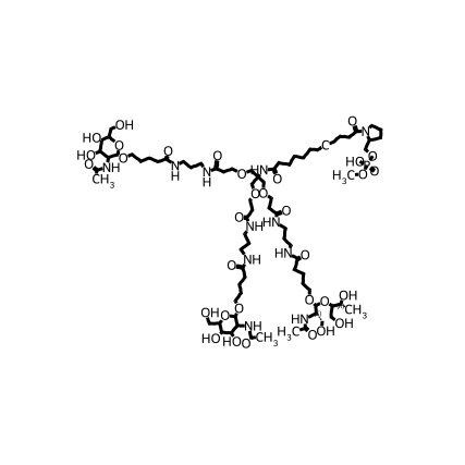 COP(=O)(O)OCC1CCCN1C(=O)CCCCCCCCCCC(=O)NC(COCCC(=O)NCCCNC(=O)CCCCOC1OC(CO)C(O)C(O)C1NC(C)=O)(COCCC(=O)NCCCNC(=O)CCCCOC1OC(CO)C(O)C(O)C1NC(C)=O)COCCC(=O)NCCCNC(=O)CCCCOC(OC(CO)[C@@H](C)O)[C@H](CO)NC(C)=O